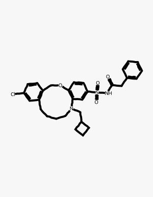 O=C(Cc1ccccc1)NS(=O)(=O)c1ccc2c(c1)N(CC1CCC1)CCCCc1cc(Cl)ccc1CO2